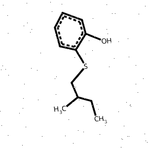 CCC(C)CSc1ccccc1O